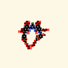 COc1ccc(S(=O)(=O)CCOSOOO)cc1/N=N/c1c(SOOO)cc2cc(S(=O)(=O)O)cc(Nc3nc(Cl)nc(Nc4cc(S(=O)(=O)O)cc5cc(S(=O)(=O)O)c(/N=N/c6ccc(S(=O)(=O)CCOSOOO)cc6)c(O)c45)n3)c2c1O